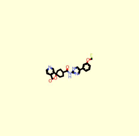 O=C1OC2(CCC(C(=O)Nc3ncc(-c4cccc(OCF)c4)cn3)CC2)c2cnccc21